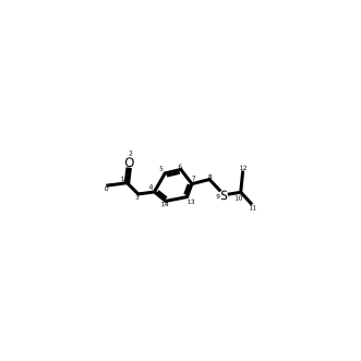 CC(=O)Cc1ccc(CSC(C)C)cc1